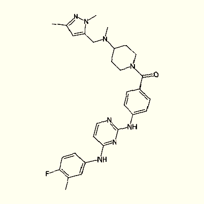 Cc1cc(CN(C)C2CCN(C(=O)c3ccc(Nc4nccc(Nc5ccc(F)c(C)c5)n4)cc3)CC2)n(C)n1